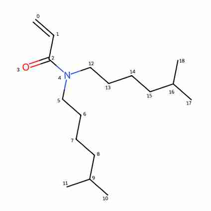 C=CC(=O)N(CCCCC(C)C)CCCCC(C)C